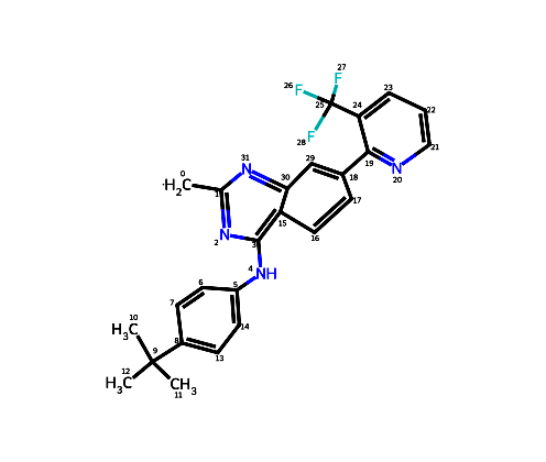 [CH2]c1nc(Nc2ccc(C(C)(C)C)cc2)c2ccc(-c3ncccc3C(F)(F)F)cc2n1